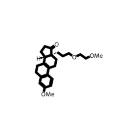 COCCOCCC[C@]12CCC3=C(CCc4cc(OC)ccc43)[C@@H]1CCC2=O